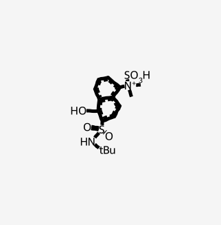 CC(C)(C)NS(=O)(=O)c1ccc2c([N+](C)(C)S(=O)(=O)O)cccc2c1O